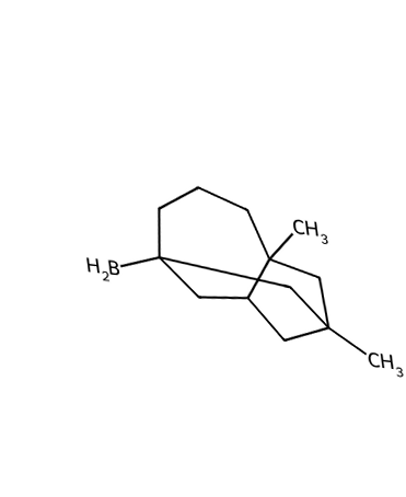 BC12CCCC3(C)CC(C)(CC3C1)C2